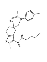 C=CC1(CN(C(=C)C)c2ccc(C)cc2)CCc2sc(C)c(C(=C)NCCCC)c2C1